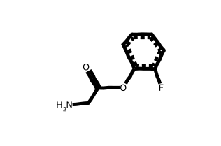 NCC(=O)Oc1ccccc1F